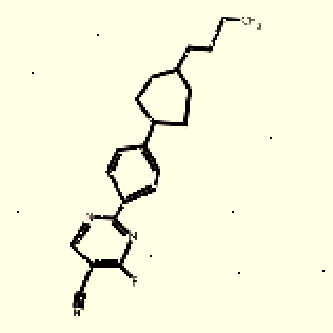 CCCCC1CCC(c2ccc(-c3ncc(C#N)c(F)n3)cc2)CC1